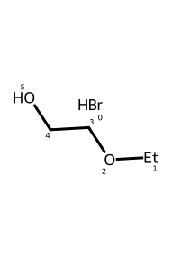 Br.CCOCCO